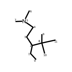 CCC(CCN(C)C)C(C)(C)C